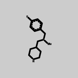 CC(C)(C)N(Cc1ccc(F)cc1)CC1CCNCC1